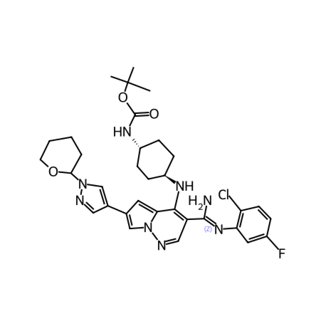 CC(C)(C)OC(=O)N[C@H]1CC[C@H](Nc2c(/C(N)=N/c3cc(F)ccc3Cl)cnn3cc(-c4cnn(C5CCCCO5)c4)cc23)CC1